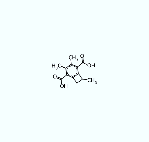 Cc1c(C)c(C(=O)O)c2c(c1C(=O)O)CC2C